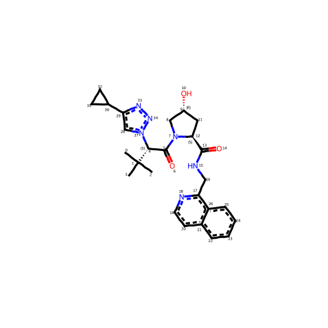 CC(C)(C)[C@@H](C(=O)N1C[C@H](O)C[C@H]1C(=O)NCc1nccc2ccccc12)n1cc(C2CC2)nn1